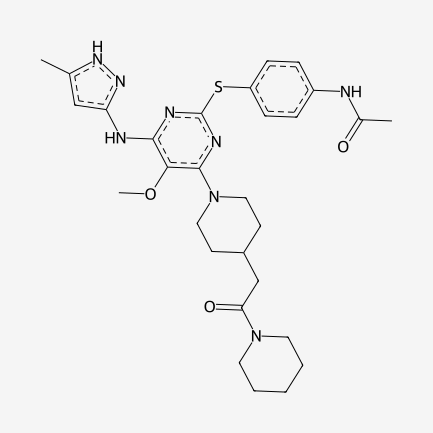 COc1c(Nc2cc(C)[nH]n2)nc(Sc2ccc(NC(C)=O)cc2)nc1N1CCC(CC(=O)N2CCCCC2)CC1